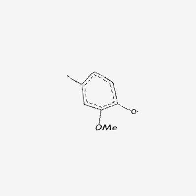 COc1cc(C)ccc1[O]